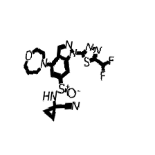 N#CC1(N[S+]([O-])c2cc(N3CCCOCC3)c3cnn(-c4nnc(C(F)F)s4)c3c2)CC1